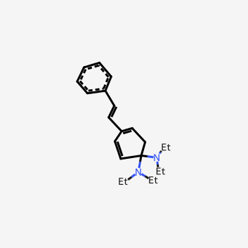 CCN(CC)C1(N(CC)CC)C=CC(C=Cc2ccccc2)=CC1